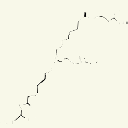 CCCCCCCCC(CCCCCCCC)OC(=O)CCCCCCCN(CCCCCCCC(=O)OCCC(CCCC)CCCC)CCCNSCC